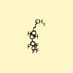 CCCC=C[C@@H]1CC[C@@H]2CC(c3cc(F)c(OC(F)(F)F)c(F)c3)CC[C@@H]2C1